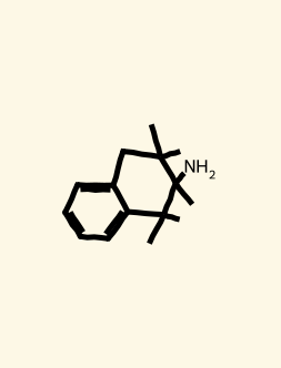 CC1(C)Cc2ccccc2C(C)(C)C1(C)N